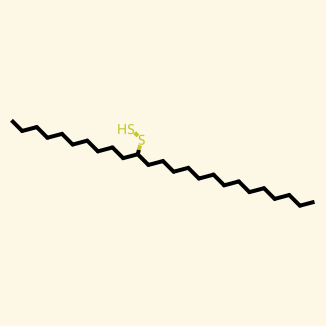 CCCCCCCCCCCCCCC(CCCCCCCCCC)SS